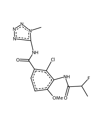 COc1ccc(C(=O)Nc2nnnn2C)c(Cl)c1NC(=O)C(C)F